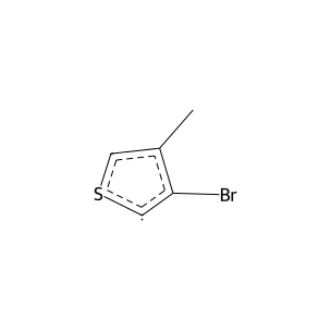 Cc1cs[c]c1Br